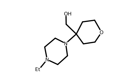 CCN1CCN(C2(CO)CCOCC2)CC1